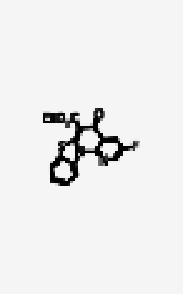 CCOC(=O)c1c(=O)c2cc(F)cnc2n2c1sc1ccccc12